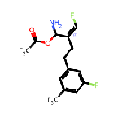 NC(OC(=O)C(F)(F)F)/C(=C\F)CCc1cc(F)cc(C(F)(F)F)c1